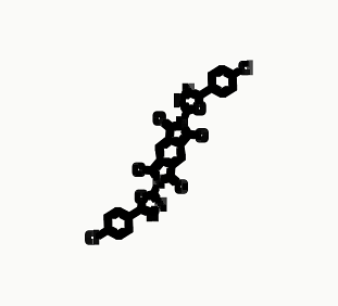 O=c1c2cc3c(=O)n(-c4nnc(-c5ccc(Cl)cc5)o4)c(=O)c3cc2c(=O)n1-c1nnc(-c2ccc(Cl)cc2)o1